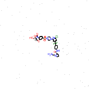 C[N+]1(CCN)CCC[C@H]1C(=O)NC1CCC(C(F)(F)c2cc(Cl)nc(N3CCN(S(=O)(=O)c4ccc5c(c4)OC[C@@H]4[C@H](CO)OC(=O)N54)CC3)c2)CC1